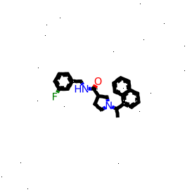 CC(c1cccc2ccccc12)N1CCC(C(=O)NCc2cccc(F)c2)C1